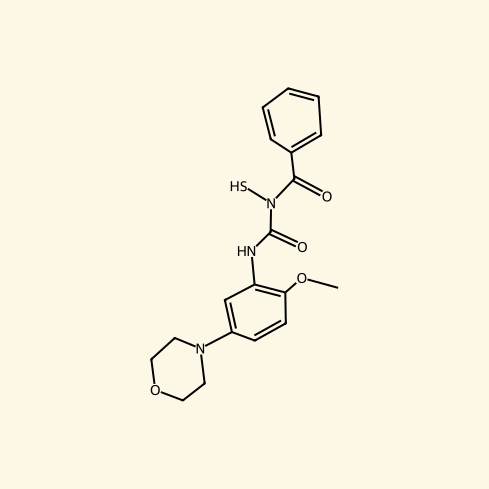 COc1ccc(N2CCOCC2)cc1NC(=O)N(S)C(=O)c1ccccc1